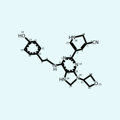 N#CC1=CC(c2nc(NCCc3ccc(O)cc3)c3c(n2)N(C2COC2)CN3)=CNC1